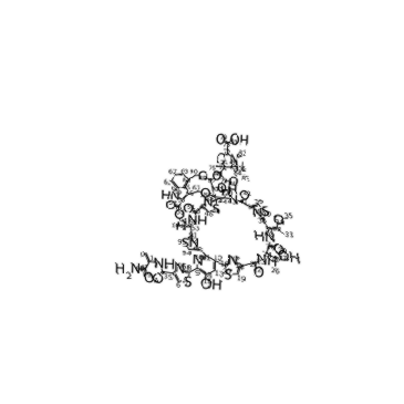 C=C(NC(=O)c1csc(-c2nc3c(cc2O)-c2nc(cs2)C(=O)N[C@@H]([C@@H](C)O)C(=O)N/C(=C(\C)OC)c2nc(cs2)C(=O)N[C@@H]2c4nc(cs4)C(=O)N[C@@H](COC(=O)c4[nH]c5cccc6c5c4COC2[C@H](O[C@H]2C[C@]4(C)OC(C(=O)O)N(C)[C@@H]4[C@H](C)O2)C(=O)OC6)c2nc-3cs2)n1)C(N)=O